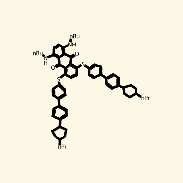 CCCCNc1ccc(NCCCC)c2c1C(=O)c1c(Sc3ccc(-c4ccc(C5CCC(CCC)CC5)cc4)cc3)ccc(Sc3ccc(-c4ccc(C5CCC(CCC)CC5)cc4)cc3)c1C2=O